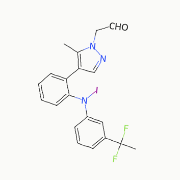 Cc1c(-c2ccccc2N(I)c2cccc(C(C)(F)F)c2)cnn1CC=O